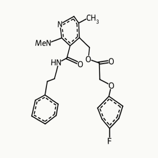 CNc1ncc(C)c(COC(=O)COc2ccc(F)cc2)c1C(=O)NCCc1ccccc1